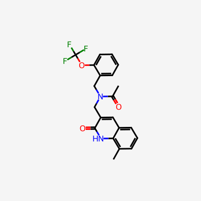 CC(=O)N(Cc1ccccc1OC(F)(F)F)Cc1cc2cccc(C)c2[nH]c1=O